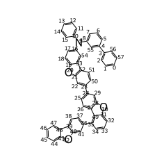 c1ccc(-c2cccc(N(c3ccccc3)c3ccc4oc5cc(-c6ccc7c(c6)oc6cccc(-c8ccc9c(c8)oc8ccccc89)c67)ccc5c4c3)c2)cc1